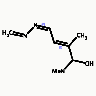 C=N/N=C\C=C(/C)C(O)NC